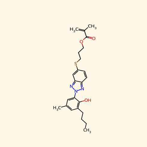 C=C(C)C(=O)OCCCSc1ccc2nn(-c3cc(C)cc(CCCC)c3O)nc2c1